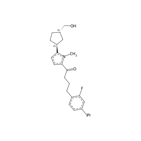 CC(C)c1ccc(CCCC(=O)c2ccc([C@H]3CC[C@H](CO)C3)n2C)c(F)c1